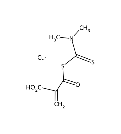 C=C(C(=O)O)C(=O)SC(=S)N(C)C.[Cu]